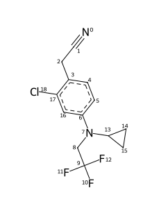 N#CCc1ccc(N(CC(F)(F)F)C2CC2)cc1Cl